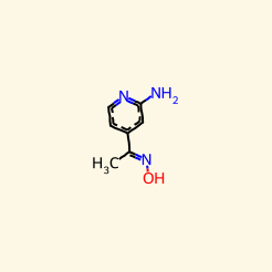 CC(=NO)c1ccnc(N)c1